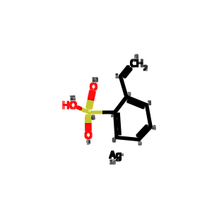 C=Cc1ccccc1S(=O)(=O)O.[Ag]